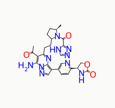 CC(=O)c1c(CCC2CC[C@@H](C)N2C(=O)c2nnc[nH]2)nc2c(-c3ccc([C@H]4COC(=O)N4)nc3)cnn2c1N